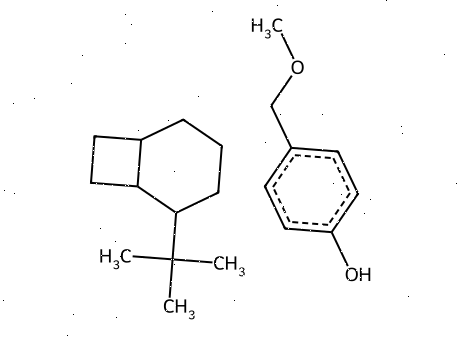 CC(C)(C)C1CCCC2CCC21.COCc1ccc(O)cc1